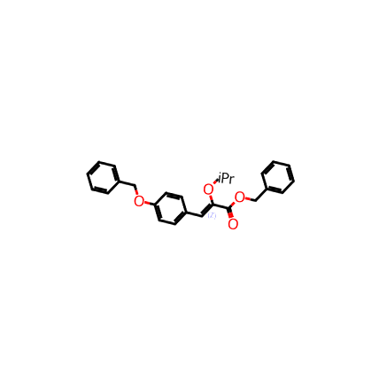 CC(C)O/C(=C\c1ccc(OCc2ccccc2)cc1)C(=O)OCc1ccccc1